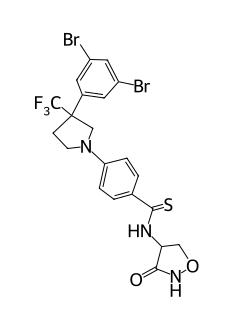 O=C1NOCC1NC(=S)c1ccc(N2CCC(c3cc(Br)cc(Br)c3)(C(F)(F)F)C2)cc1